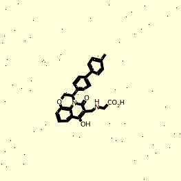 Cc1ccc(-c2ccc(C3COc4cccc5c(O)c(CNCC(=O)O)c(=O)n3c45)cc2)cc1